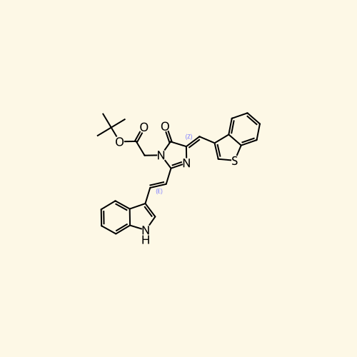 CC(C)(C)OC(=O)CN1C(=O)/C(=C/c2csc3ccccc23)N=C1/C=C/c1c[nH]c2ccccc12